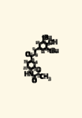 CC1Oc2cc(C(=O)C=Cc3cc(C(C)(C)C)c(O)c(C(C)(C)C)c3)ccc2NC1=O